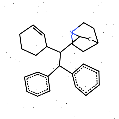 C1=CC(C(C(c2ccccc2)c2ccccc2)C2CC3CCN2CC3)CCC1